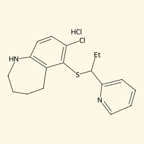 CCC(Sc1c(Cl)ccc2c1CCCCN2)c1ccccn1.Cl